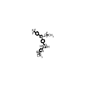 CCS(=O)(=O)c1ccc([C@H](CO)NC(=O)c2ccc(N3CC(c4ccc(C(F)(F)F)cc4)C[C@H]3COC(C)(F)F)cc2)nc1